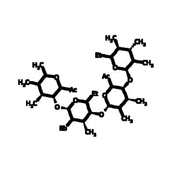 CCC1O[C@H](O[C@@H]2C(C(C)=O)O[C@@H](O[C@@H]3C(CC)O[C@@H](O[C@H]4C(C(C)=O)OC(C)C(C)[C@@H]4C)[CH]([Rb])[C@H]3C)C(C)[C@H]2C)C(C)[C@@H](C)[C@@H]1C